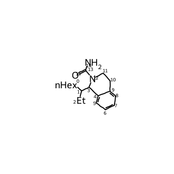 CCCCCCC(CC)C1c2ccccc2CCN1C(N)=O